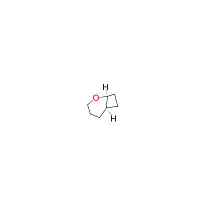 C1CO[C@H]2CC[C@H]2C1